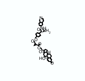 C[C@]12C=CC(=O)C=C1CC[C@@H]1C2[C@@H](O)C[C@@]2(C)C1CC[C@@H]2C(=O)COC(=O)C1CC1C(=O)OCc1ccc([C@@H](CN)C(=O)Nc2ccc3cnccc3c2)cc1